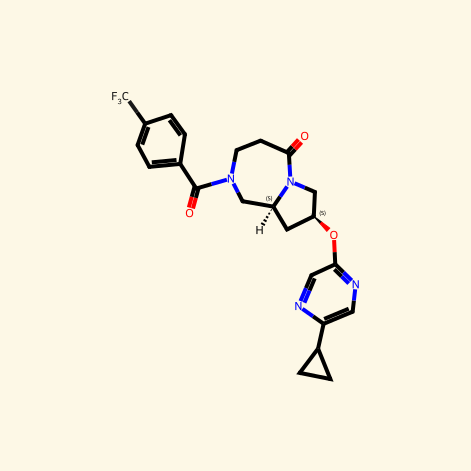 O=C(c1ccc(C(F)(F)F)cc1)N1CCC(=O)N2C[C@@H](Oc3cnc(C4CC4)cn3)C[C@H]2C1